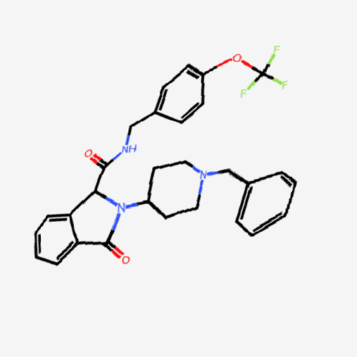 O=C(NCc1ccc(OC(F)(F)F)cc1)C1c2ccccc2C(=O)N1C1CCN(Cc2ccccc2)CC1